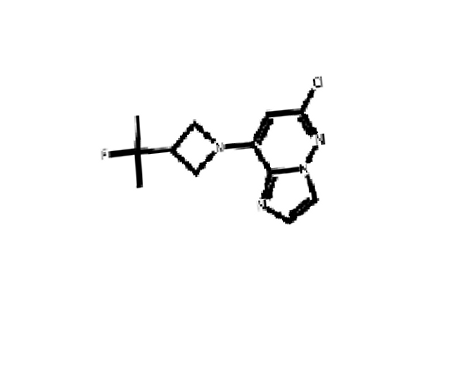 CC(C)(F)C1CN(c2cc(Cl)nn3ccnc23)C1